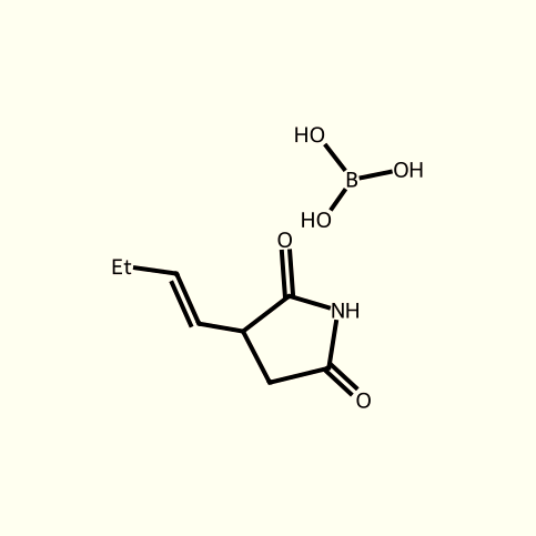 CCC=CC1CC(=O)NC1=O.OB(O)O